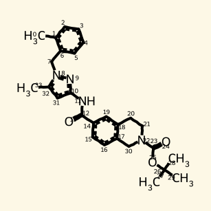 Cc1ccccc1Cn1nc(NC(=O)c2ccc3c(c2)CCN(C(=O)OC(C)(C)C)C3)cc1C